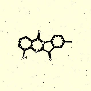 O=C1c2cc(I)ccc2-n2c1nc1c(O)cccc1c2=O